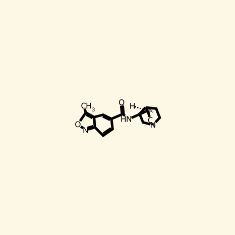 Cc1onc2ccc(C(=O)N[C@@H]3CN4CCC3CC4)cc12